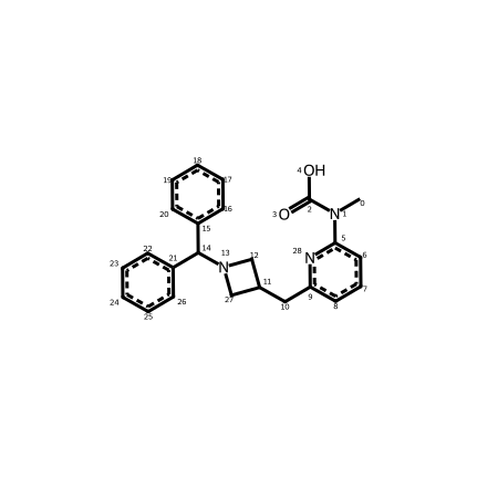 CN(C(=O)O)c1cccc(CC2CN(C(c3ccccc3)c3ccccc3)C2)n1